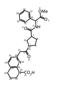 COC(=O)C(NC(=O)C1CCN(C(=O)Cc2ccc3c(n2)N(C(=O)O)CCC3)C1)c1ccccc1